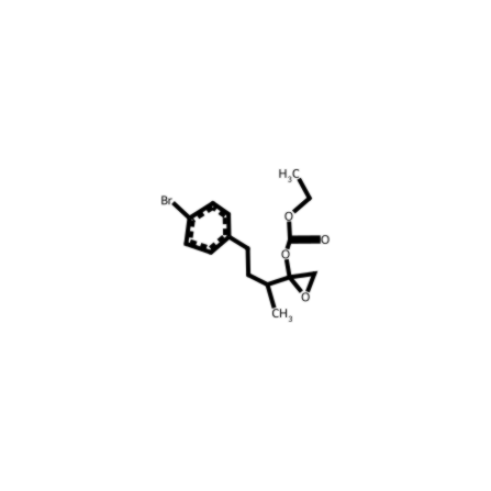 CCOC(=O)OC1(C(C)CCc2ccc(Br)cc2)CO1